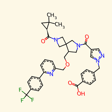 CC1(C)C[C@@H]1C(=O)N1CC2(CN(C(=O)c3cnn(Cc4ccc(C(=O)O)cc4)c3)CC2COCc2cccc(-c3ccc(C(F)(F)F)cc3)n2)C1